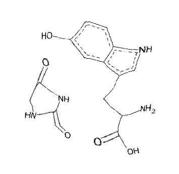 NC(Cc1c[nH]c2ccc(O)cc12)C(=O)O.O=C1CNC(=O)N1